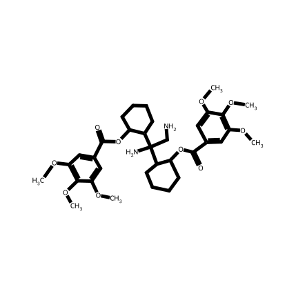 COc1cc(C(=O)OC2CCCCC2C(N)(CN)C2CCCCC2OC(=O)c2cc(OC)c(OC)c(OC)c2)cc(OC)c1OC